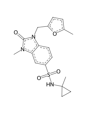 Cc1ccc(Cn2c(=O)n(C)c3cc(S(=O)(=O)NC4(C)CC4)ccc32)o1